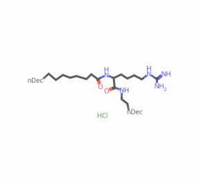 CCCCCCCCCCCCCCCCCC(=O)NC(CCCCNC(=N)N)C(=O)NCCCCCCCCCCCC.Cl